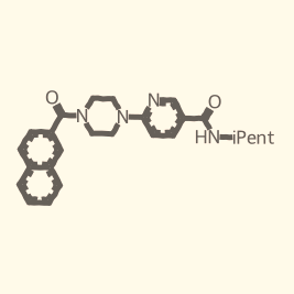 CCCC(C)NC(=O)c1ccc(N2CCN(C(=O)c3ccc4ccccc4c3)CC2)nc1